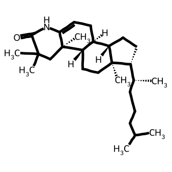 CC(C)CCC[C@@H](C)[C@H]1CC[C@H]2[C@@H]3CC=C4NC(=O)C(C)(C)C[C@]4(C)[C@H]3CC[C@]12C